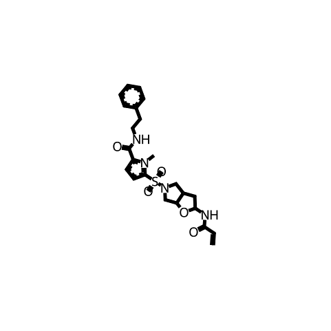 C=CC(=O)NC1CC2CN(S(=O)(=O)c3ccc(C(=O)NCCc4ccccc4)n3C)CC2O1